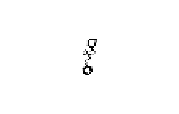 O=C(CSc1ccccc1)OC1CCCCC1